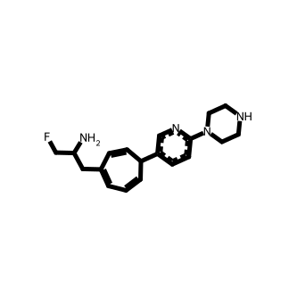 NC(CF)CC1=CC=CC(c2ccc(N3CCNCC3)nc2)C=C1